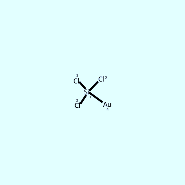 Cl[Si](Cl)(Cl)[Au]